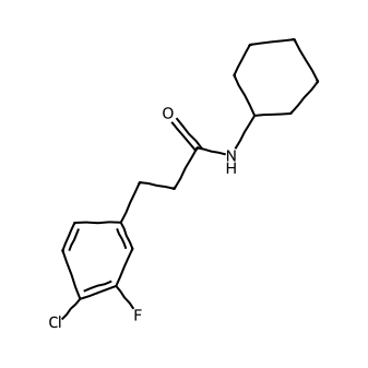 O=C(CCc1ccc(Cl)c(F)c1)NC1CCCCC1